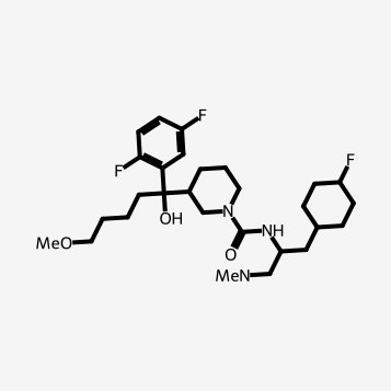 CNCC(CC1CCC(F)CC1)NC(=O)N1CCCC(C(O)(CCCCOC)c2cc(F)ccc2F)C1